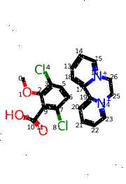 COc1c(Cl)ccc(Cl)c1C(=O)O.c1cc[n+]2c(c1)-c1cccc[n+]1CC2